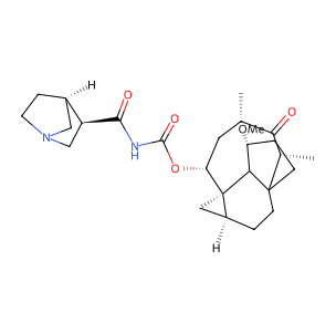 CO[C@@H]1CCC23CC[C@H]4C[C@@]4(C12)[C@H](OC(=O)NC(=O)[C@H]1CN2CC[C@@H]1C2)C[C@H](C)C(=O)[C@@H]3C